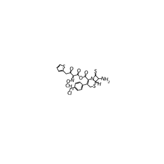 CON=C(C(=O)Cc1cccs1)C(=O)OC(=O)C1=C(c2ccc(CCl)cc2)CS[C@H]2C(N)C(=S)N12